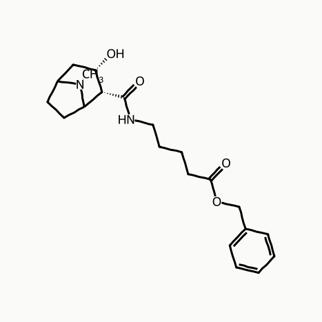 CN1C2CCC1[C@@H](C(=O)NCCCCC(=O)OCc1ccccc1)[C@@H](O)C2